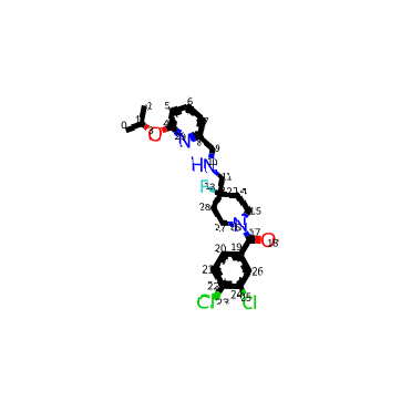 CC(C)Oc1cccc(CNCC2(F)CCN(C(=O)c3ccc(Cl)c(Cl)c3)CC2)n1